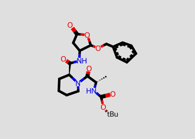 C[C@H](NC(=O)OC(C)(C)C)C(=O)N1CCCC[C@H]1C(=O)NC1CC(=O)OC1OCc1ccccc1